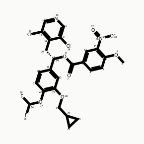 COc1ccc(C(=O)O[C@@H](Cc2c(Cl)cncc2Cl)c2ccc(OC(F)F)c(OCC3CC3)c2)cc1[N+](=O)[O-]